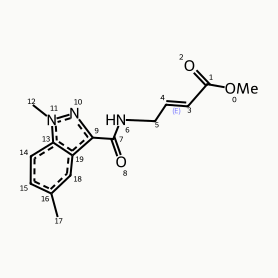 COC(=O)/C=C/CNC(=O)c1nn(C)c2ccc(C)cc12